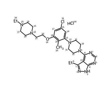 CCc1n[nH]c2ncnc(N3CCN(c4cc(Cl)cc(OCCN5CCN(CC)CC5)c4C)CC3)c12.Cl